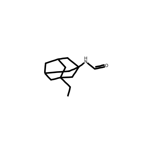 CCC12CC3CC(C1)CC(NC=O)(C3)C2